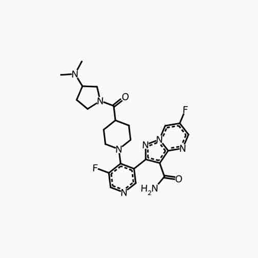 CN(C)C1CCN(C(=O)C2CCN(c3c(F)cncc3-c3nn4cc(F)cnc4c3C(N)=O)CC2)C1